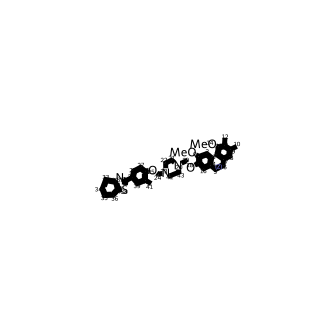 COc1ccc(/C=C\c2cc(C)c(C)c(OC)c2)cc1OCN1CCN(COc2ccc(-c3nc4ccccc4s3)cc2C)CC1